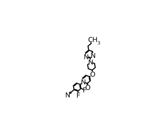 CCCc1cnc(N2CCC(Oc3ccn(-c4ccc(C#N)c(F)c4F)c(=O)c3)CC2)nc1